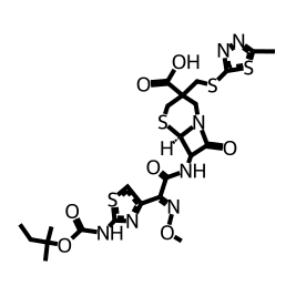 CCC(C)(C)OC(=O)Nc1nc(C(=NOC)C(=O)NC2C(=O)N3CC(CSc4nnc(C)s4)(C(=O)O)CS[C@H]23)cs1